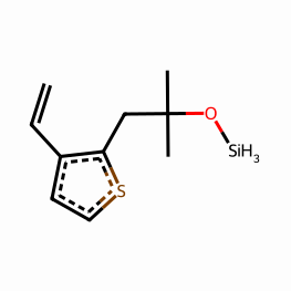 C=Cc1ccsc1CC(C)(C)O[SiH3]